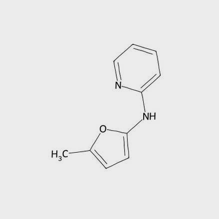 Cc1ccc(Nc2ccccn2)o1